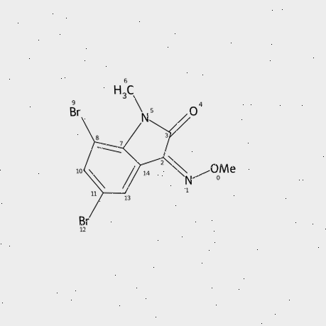 CON=C1C(=O)N(C)c2c(Br)cc(Br)cc21